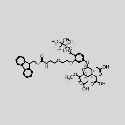 COC(=O)[C@H]1O[C@@H](Oc2ccc(CO[Si](C)(C)C(C)(C)C)c(OCCOCCNC(=O)OCC3c4ccccc4-c4ccccc43)c2)[C@H](CC(=O)O)[C@@H](CC(=O)O)[C@@H]1CC(=O)O